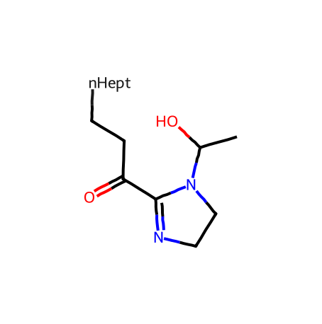 CCCCCCCCCC(=O)C1=NCCN1C(C)O